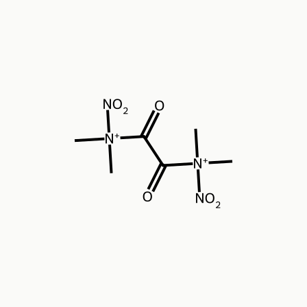 C[N+](C)(C(=O)C(=O)[N+](C)(C)[N+](=O)[O-])[N+](=O)[O-]